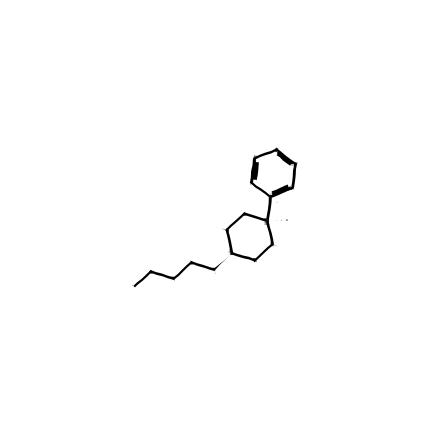 CCCCC[C@H]1CC[C@@](O)(c2ccccc2)CC1